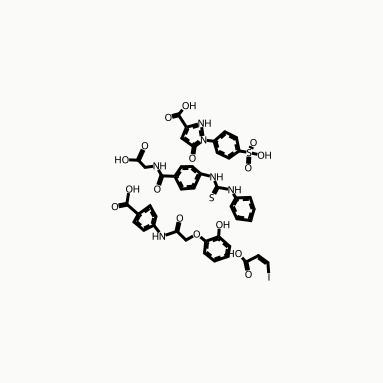 O=C(COc1ccccc1O)Nc1ccc(C(=O)O)cc1.O=C(O)/C=C\I.O=C(O)CNC(=O)c1ccc(NC(=S)Nc2ccccc2)cc1.O=C(O)c1cc(=O)n(-c2ccc(S(=O)(=O)O)cc2)[nH]1